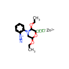 CCOC1CN(c2ccccc2[N+]#N)C(OCC)CO1.[Cl-].[Cl-].[Cl-].[Zn+2]